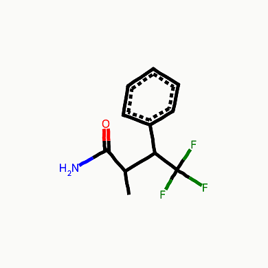 CC(C(N)=O)C(c1ccccc1)C(F)(F)F